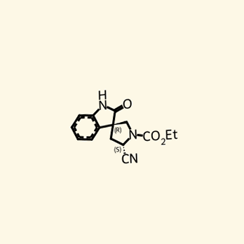 CCOC(=O)N1C[C@]2(C[C@H]1C#N)C(=O)Nc1ccccc12